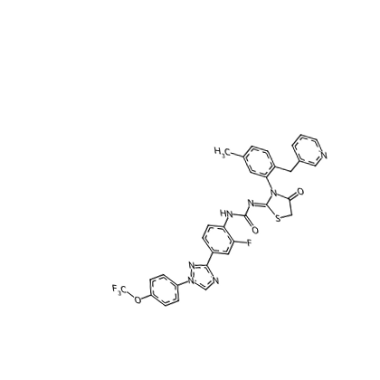 Cc1ccc(Cc2cccnc2)c(N2C(=O)CSC2=NC(=O)Nc2ccc(-c3ncn(-c4ccc(OC(F)(F)F)cc4)n3)cc2F)c1